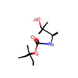 CC(NC(=O)OC(C)(C)C)C(C)(C)O